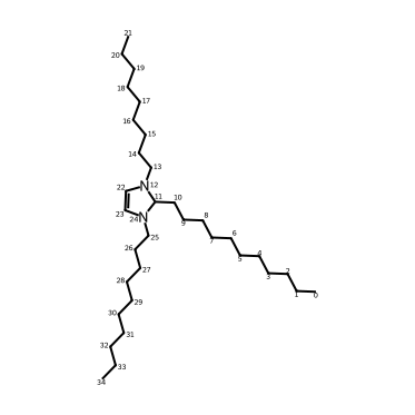 CCCCCCCCCCCC1N(CCCCCCCCC)C=CN1CCCCCCCCCC